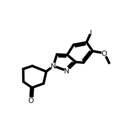 COc1cc2nn(C3CCCC(=O)C3)cc2cc1I